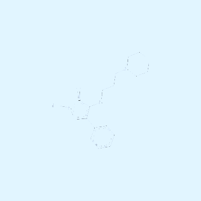 CCCCn1sc(-c2ccccc2)c(NCCCN2CCOCC2)c1=O